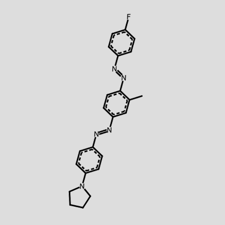 Cc1cc(/N=N/c2ccc(N3CCCC3)cc2)ccc1/N=N/c1ccc(F)cc1